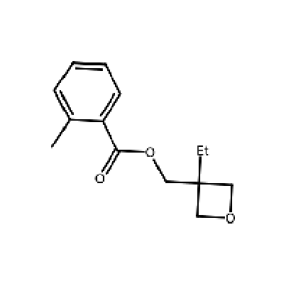 CCC1(COC(=O)c2ccccc2C)COC1